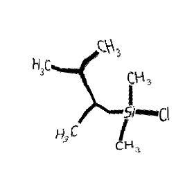 CC(C)C(C)[Si](C)(C)Cl